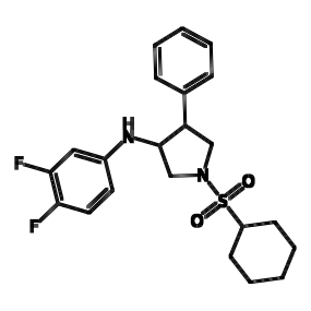 O=S(=O)(C1CCCCC1)N1CC(Nc2ccc(F)c(F)c2)C(c2ccccc2)C1